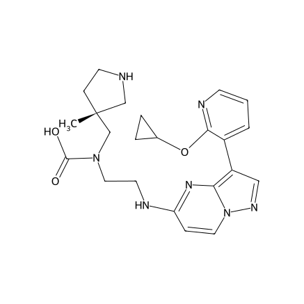 C[C@@]1(CN(CCNc2ccn3ncc(-c4cccnc4OC4CC4)c3n2)C(=O)O)CCNC1